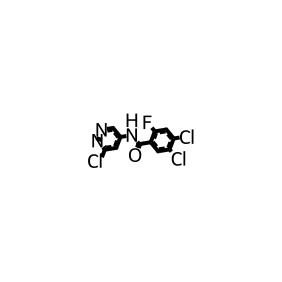 O=C(Nc1cnnc(Cl)c1)c1cc(Cl)c(Cl)cc1F